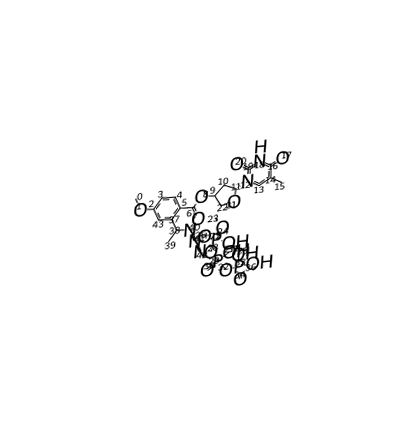 COc1ccc(C(=O)OC2C[C@H](n3cc(C)c(=O)[nH]c3=O)O[C@@H]2COP(=O)(O)OP(=O)(O)OP(=O)(O)O)c(C(C)N=[N+]=[N-])c1